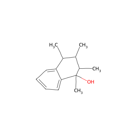 CC1c2ccccc2C(C)(O)C(C)C1C